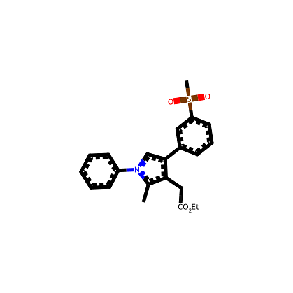 CCOC(=O)Cc1c(-c2cccc(S(C)(=O)=O)c2)cn(-c2ccccc2)c1C